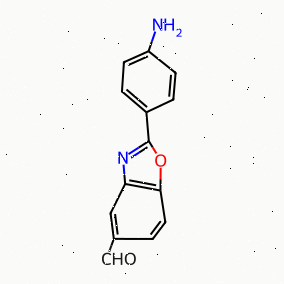 Nc1ccc(-c2nc3cc(C=O)ccc3o2)cc1